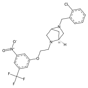 O=[N+]([O-])c1cc(OCCN2CC3C[C@H]2CN3Cc2ccccc2Cl)cc(C(F)(F)F)c1